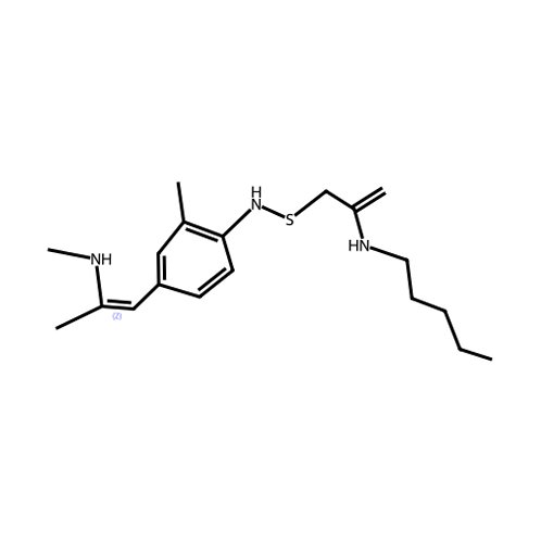 C=C(CSNc1ccc(/C=C(/C)NC)cc1C)NCCCCC